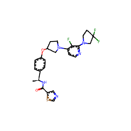 C[C@H](NC(=O)c1cncs1)c1ccc(OC2CCN(c3ccnc(N4CCC(F)(F)C4)c3F)C2)cc1